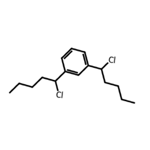 CCCCC(Cl)c1cccc(C(Cl)CCCC)c1